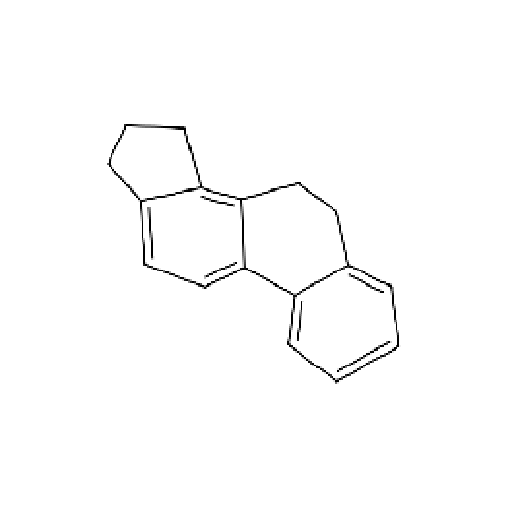 c1ccc2c(c1)CCc1c-2ccc2c1CCC2